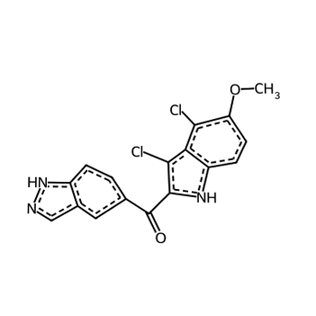 COc1ccc2[nH]c(C(=O)c3ccc4[nH]ncc4c3)c(Cl)c2c1Cl